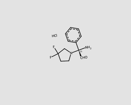 Cl.N[C@@](C=O)(c1ccccc1)N1CCC(F)(F)C1